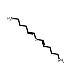 NCCCC=COC=CCCCN